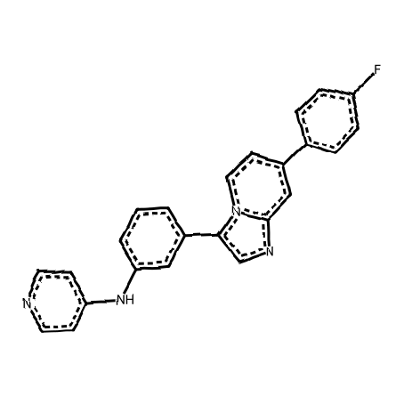 Fc1ccc(-c2ccn3c(-c4cccc(Nc5ccncc5)c4)cnc3c2)cc1